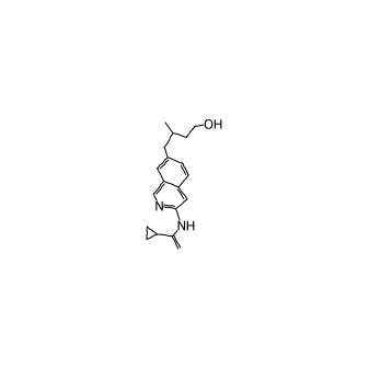 C=C(Nc1cc2ccc(CC(C)CCO)cc2cn1)C1CC1